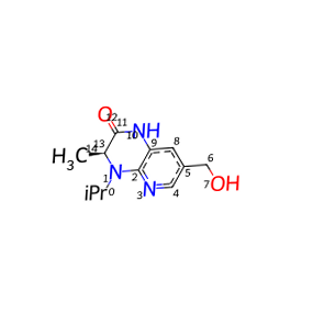 CC(C)N1c2ncc(CO)cc2NC(=O)[C@@H]1C